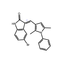 Cc1cc(/C=C2/C(=O)Nc3ccc(Br)cc32)c(C)n1-c1ccccc1